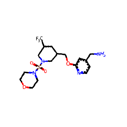 NCc1ccnc(OCC2CC(C(F)(F)F)CN(S(=O)(=O)N3CCOCC3)C2)c1